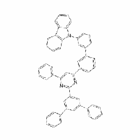 C1=Cc2c(c3ccccc3n2-c2cccc(-c3cccc(-c4cc(-c5ccccc5)nc(-c5cc(-c6ccccc6)cc(-c6ccccc6)c5)n4)c3)c2)CC1